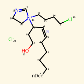 CCCCCCCCCCCCCC/C=C\C(CCO)[N+]1(CCCCCl)C=NCC1.[Cl-]